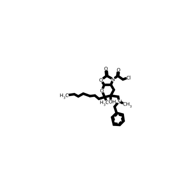 CCCCCCCC1(C)OC2OC(=O)N(C(=O)CCl)C2CC1(O)C[S+](C)Cc1ccccc1